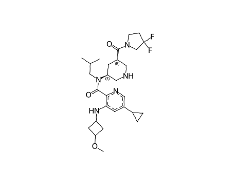 COC1CC(Nc2cc(C3CC3)cnc2C(=O)N(CC(C)C)[C@@H]2CNC[C@H](C(=O)N3CCC(F)(F)C3)C2)C1